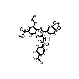 CCCc1cc(C(=O)OC)ccc1CC(C(=O)NS(=O)(=O)c1ccc(C(C)C)cc1)c1ccc2c(c1)OCO2